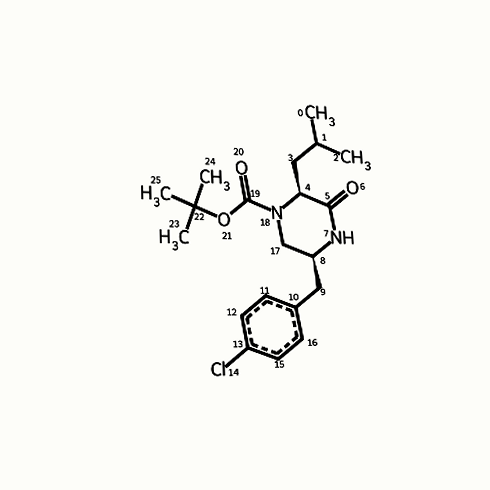 CC(C)C[C@H]1C(=O)N[C@@H](Cc2ccc(Cl)cc2)CN1C(=O)OC(C)(C)C